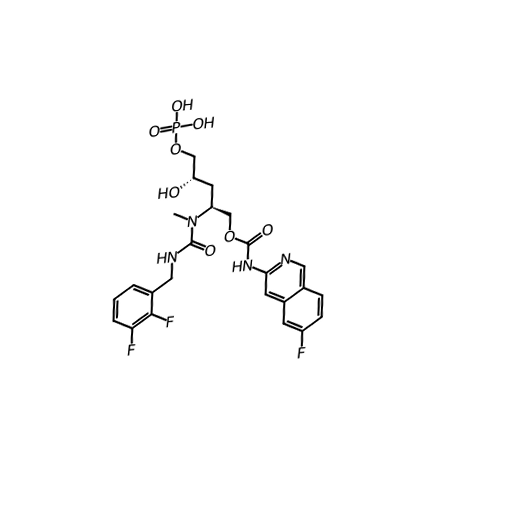 CN(C(=O)NCc1cccc(F)c1F)[C@H](COC(=O)Nc1cc2cc(F)ccc2cn1)C[C@H](O)COP(=O)(O)O